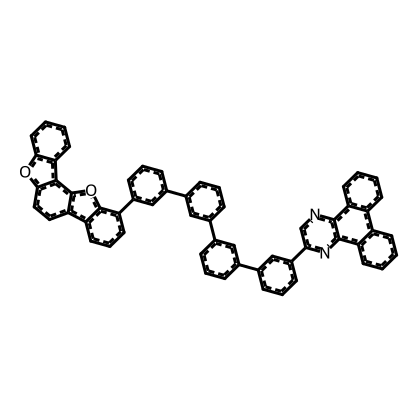 c1cc(-c2cccc(-c3cccc(-c4cccc5c4oc4c5ccc5oc6ccccc6c54)c3)c2)cc(-c2cccc(-c3cnc4c5ccccc5c5ccccc5c4n3)c2)c1